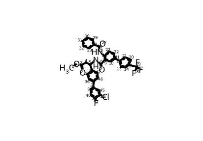 COC(=O)CC(NC(=O)c1cc(-c2ccc(C(F)(F)F)cc2)ccc1NC(=O)c1ccccc1)c1ccc(-c2ccc(F)c(Cl)c2)cc1